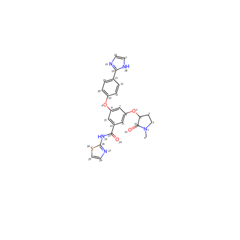 CN1CCC(Oc2cc(Oc3ccc(-c4ncc[nH]4)cc3)cc(C(=O)Nc3nccs3)c2)C1=O